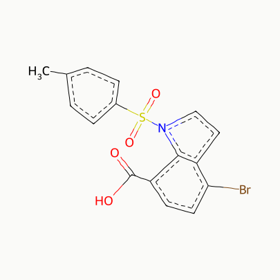 Cc1ccc(S(=O)(=O)n2ccc3c(Br)ccc(C(=O)O)c32)cc1